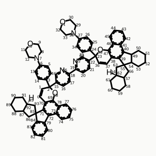 C1=CC(c2ccc(N3CCOCC3)cc2)(c2ccc(-c3ccc(C4(c5ccc(N6CCOCC6)cc5)C=Cc5c6c(c7ccccc7c5O4)C4CCCCC4C64CC5CCCC[C@@H]5C4)cn3)nc2)Oc2c1c1c(c3ccccc23)-c2ccccc2C12CC1CCCC[C@H]1C2